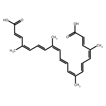 CC(C=CC=C(C)C=CC(=O)O)=CC=CC=C(C)C=CC=C(C)C=CC(=O)O